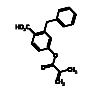 C=C(C)C(=O)Oc1ccc(C(=O)O)c(Cc2ccccc2)c1